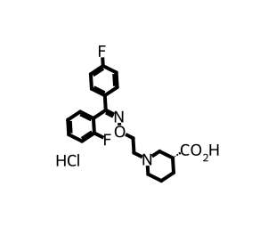 Cl.O=C(O)[C@@H]1CCCN(CCON=C(c2ccc(F)cc2)c2ccccc2F)C1